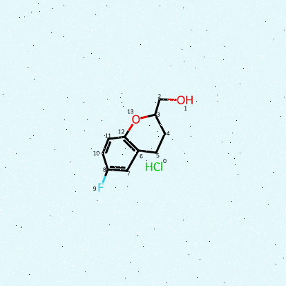 Cl.OCC1CCc2cc(F)ccc2O1